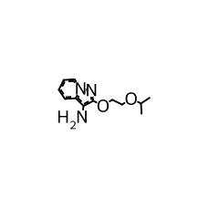 CC(C)OCCOc1nn2ccccc2c1N